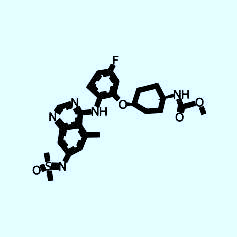 COC(=O)N[C@H]1CC[C@@H](Oc2cc(F)ccc2Nc2ncnc3cc(N=S(C)(C)=O)cc(C)c23)CC1